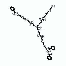 N[C@@](COCCC(=O)NCCOCCOCCO)(COCCC(=O)NCCOCCOCCOOC(=O)c1ccccc1)COCCC(=O)NCCOCCOCCOC(OC(=O)c1ccccc1)OC(=O)c1ccccc1